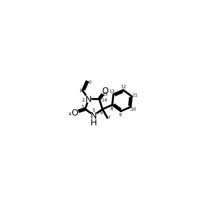 C=CN1C(=O)NC(C)(c2ccccc2)C1=O